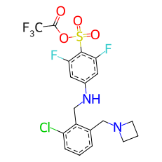 O=C(OS(=O)(=O)c1c(F)cc(NCc2c(Cl)cccc2CN2CCC2)cc1F)C(F)(F)F